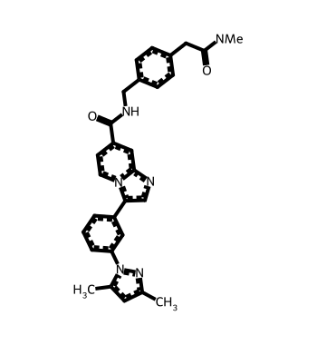 CNC(=O)Cc1ccc(CNC(=O)c2ccn3c(-c4cccc(-n5nc(C)cc5C)c4)cnc3c2)cc1